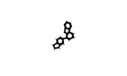 c1ccc2c(c1)Cc1c(-c3ccc4c(c3)CCC4)cccc1-2